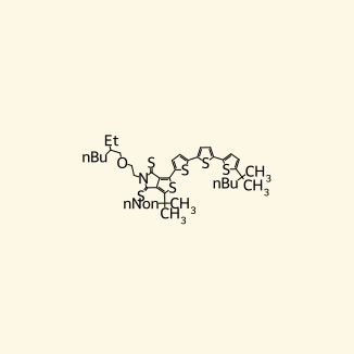 CCCCCCCCCC(C)(C)c1sc(-c2ccc(-c3ccc(-c4ccc(C(C)(C)CCCC)s4)s3)s2)c2c1C(=S)N(CCOCC(CC)CCCC)C2=S